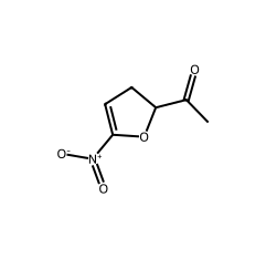 CC(=O)C1CC=C([N+](=O)[O-])O1